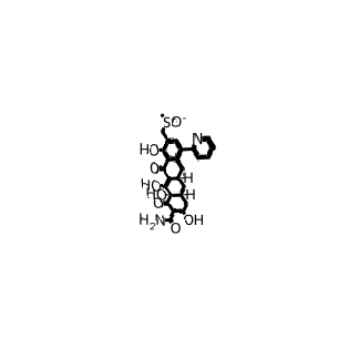 C[S+]([O-])Cc1cc(-c2ccccn2)c2c(c1O)C(=O)C1=C(O)[C@]3(O)C(=O)C(C(N)=O)=C(O)C[C@@H]3C[C@@H]1C2